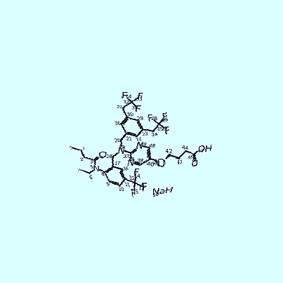 CCCC(=O)N(CC)c1ccc(C(F)(F)F)cc1CN(Cc1cc(CC(F)(F)F)cc(CC(F)(F)F)c1)c1ncc(OCCCC(=O)O)cn1.[NaH]